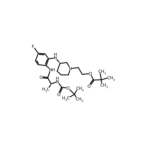 C[C@H](NC(=O)OC(C)(C)C)C(=O)Nc1ccc(F)cc1N[C@@H]1CCCN(CCOC(=O)C(C)(C)C)C1